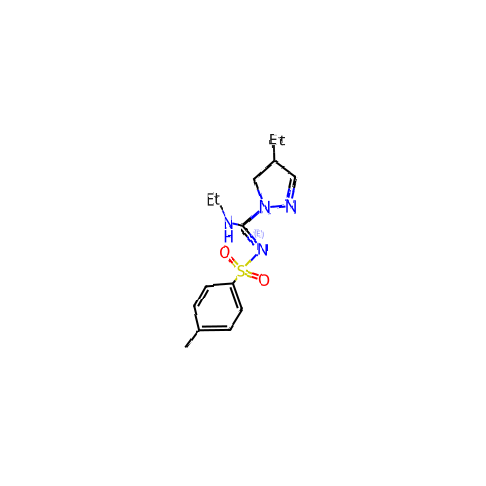 CCN/C(=N\S(=O)(=O)c1ccc(C)cc1)N1CC(CC)C=N1